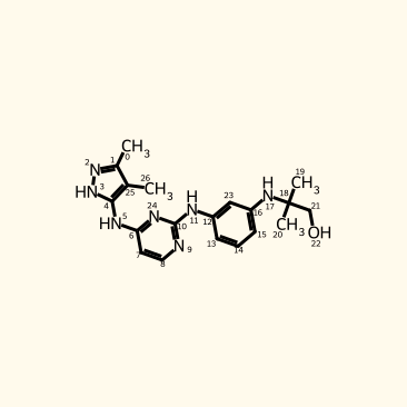 Cc1n[nH]c(Nc2ccnc(Nc3cccc(NC(C)(C)CO)c3)n2)c1C